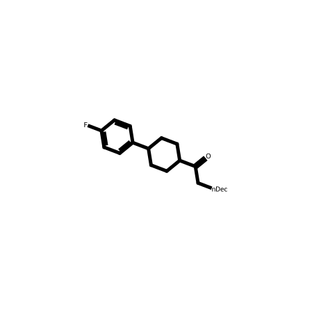 CCCCCCCCCCCC(=O)C1CCC(c2ccc(F)cc2)CC1